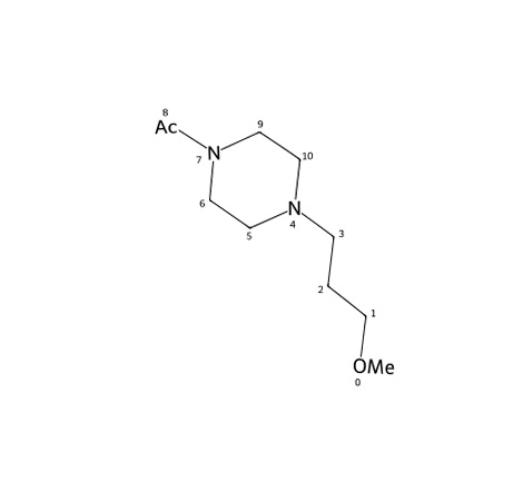 COCCCN1CCN(C(C)=O)CC1